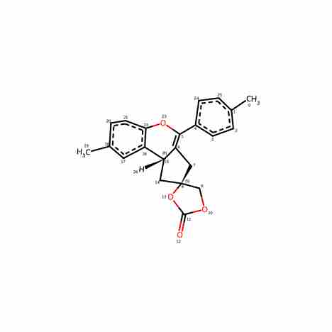 Cc1ccc(C2=C3C[C@]4(COC(=O)O4)C[C@@H]3c3cc(C)ccc3O2)cc1